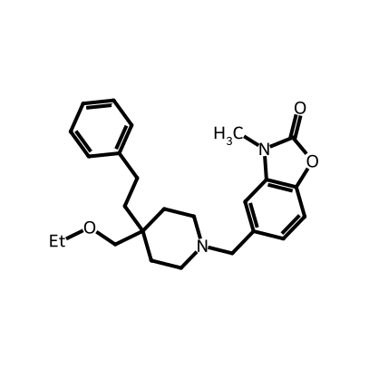 CCOCC1(CCc2ccccc2)CCN(Cc2ccc3oc(=O)n(C)c3c2)CC1